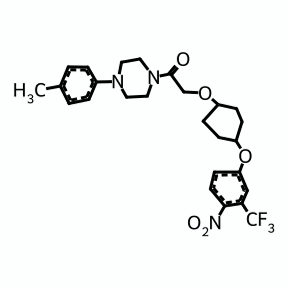 Cc1ccc(N2CCN(C(=O)COC3CCC(Oc4ccc([N+](=O)[O-])c(C(F)(F)F)c4)CC3)CC2)cc1